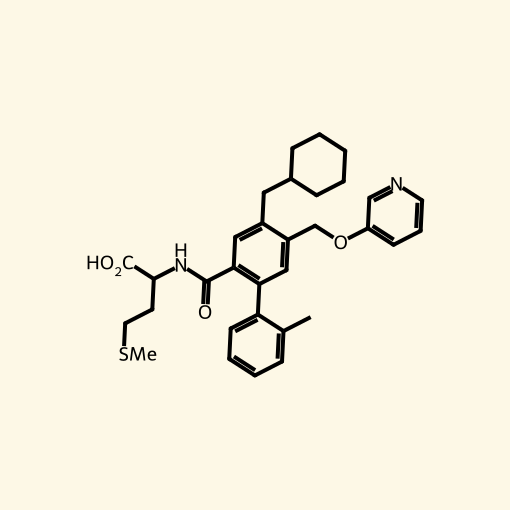 CSCCC(NC(=O)c1cc(CC2CCCCC2)c(COc2cccnc2)cc1-c1ccccc1C)C(=O)O